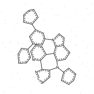 c1ccc(-c2cc(-c3ccccc3)cc(-n3ccc4ccc5c(c43)-c3cccnc3-c3ncccc3N5c3ccccc3)c2)cc1